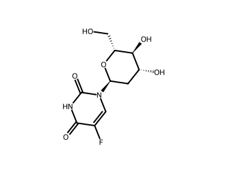 O=c1[nH]c(=O)n([C@@H]2C[C@@H](O)[C@H](O)[C@@H](CO)O2)cc1F